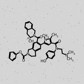 Cc1c(C(=O)N(CCN(C)C)c2ccc(O)cc2)cc(-c2cc3c(cc2C(=O)N2Cc4ccccc4C[C@H]2C)CN(C(=O)Oc2ccccc2)CC3)n1C